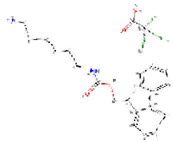 NCCCCCCNC(=O)OCC1c2ccccc2-c2ccccc21.O=C(O)C(F)(F)F